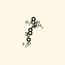 Cc1ccccc1NC(=S)N(C)N=Cc1ccc2c(ccc3c2ncn3-c2ccc(OC(F)(F)F)cc2)c1